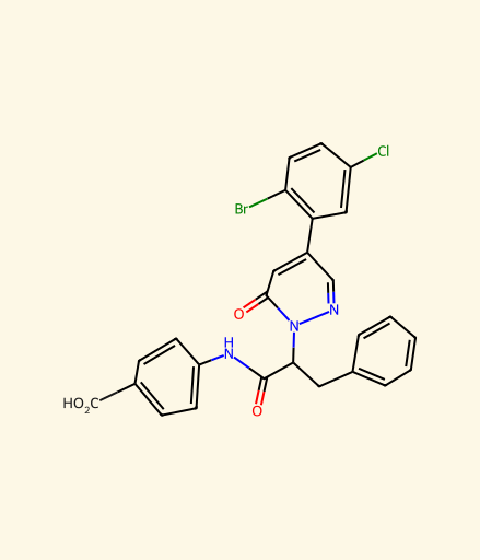 O=C(O)c1ccc(NC(=O)C(Cc2ccccc2)n2ncc(-c3cc(Cl)ccc3Br)cc2=O)cc1